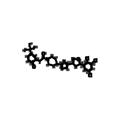 O=C(Cn1cc(C(F)(F)F)ccc1=O)N1CCC(c2nc(C3=NOC(c4cc(Cl)cc(Cl)c4Cl)C3)cs2)CC1